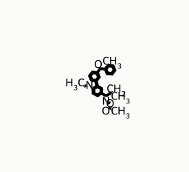 C=C(C)/C(=N\OC(C)=O)c1ccc2c(c1)c1cc(C(=O)c3ccccc3C)ccc1n2CC